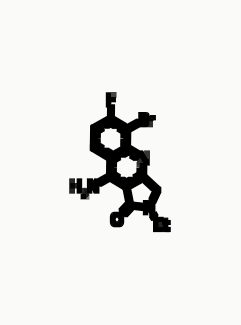 CCN1Cc2nc3c(Br)c(F)ccc3c(N)c2C1=O